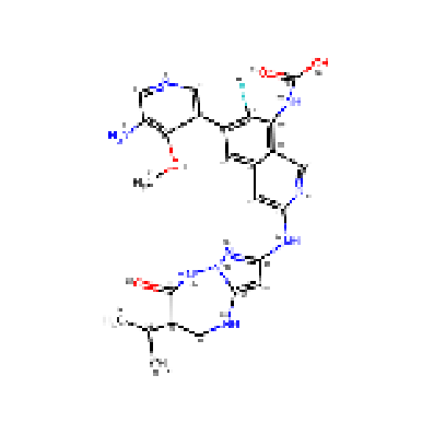 COc1c(N)cncc1-c1cc2cc(Nc3cc4n(n3)NC(=O)C(C(C)C)CN4)ncc2c(NC(=O)O)c1F